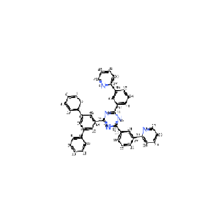 C1=CCC(c2cc(-c3ccccc3)cc(-c3nc(-c4cccc(-c5ccccn5)c4)nc(-c4cccc(-c5ccccn5)c4)n3)c2)C=C1